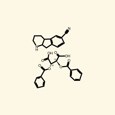 N#Cc1ccc2c(c1)C1CCCNC1C2.O=C(O[C@H](C(=O)O)[C@H](OC(=O)c1ccccc1)C(=O)O)c1ccccc1